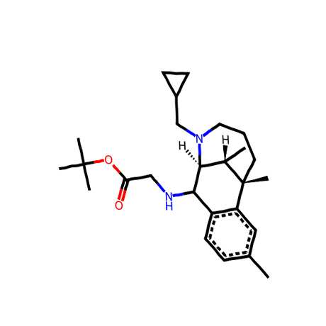 Cc1ccc2c(c1)[C@@]1(C)CCCN(CC3CC3)[C@H](C2NCC(=O)OC(C)(C)C)[C@@H]1C